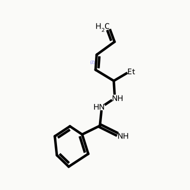 C=C/C=C\C(CC)NNC(=N)c1ccccc1